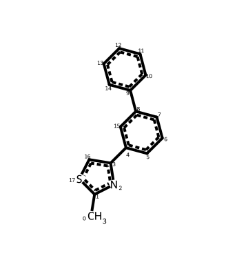 Cc1nc(-c2cccc(-c3ccccc3)c2)cs1